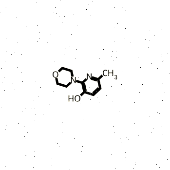 Cc1ccc(O)c(N2CCOCC2)n1